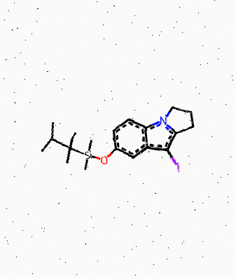 CC(C)C(C)(C)[Si](C)(C)Oc1ccc2c(c1)c(I)c1n2CCC1